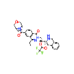 CCc1nn(C[C@@H](OC(=O)C(F)(F)F)[C@@H]2Cc3ccccc3CN2)c(=O)c2ccc(C(=O)N3C4CCC3COC4)cc12